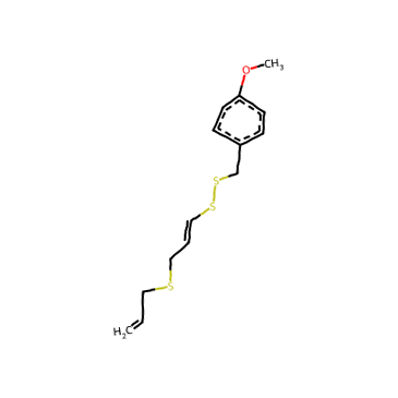 C=CCSC/C=C/SSCc1ccc(OC)cc1